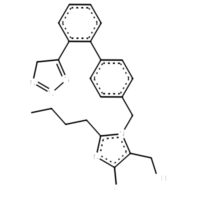 CCCCc1nc(Cl)c(CO)n1Cc1ccc(-c2ccccc2C2=NN=NC2)cc1